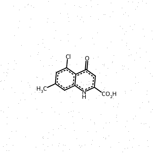 Cc1cc(Cl)c2c(=O)cc(C(=O)O)[nH]c2c1